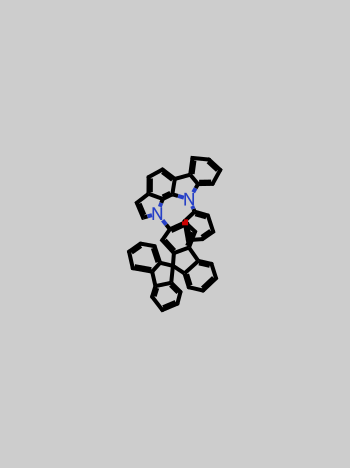 c1ccc(-n2c3ccccc3c3ccc4ccn(-c5ccc6c(c5)C5(c7ccccc7-c7ccccc75)c5ccccc5-6)c4c32)cc1